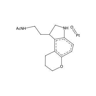 CC(=O)NCCC1CNc2ccc3c(c21)CCCO3.[O]=[Pt]